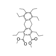 CCCc1c2c(c(CCC)c(C(=O)OC)c1C(=O)OC)Cc1c(CC)c(CC)c(CC)c(CC)c1C2